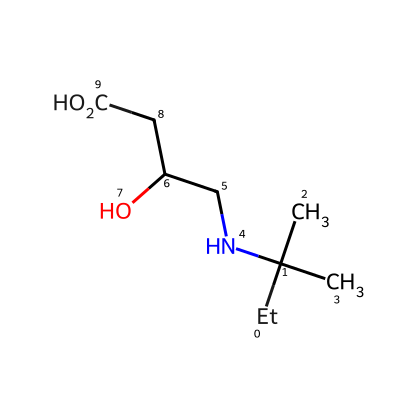 CCC(C)(C)NCC(O)CC(=O)O